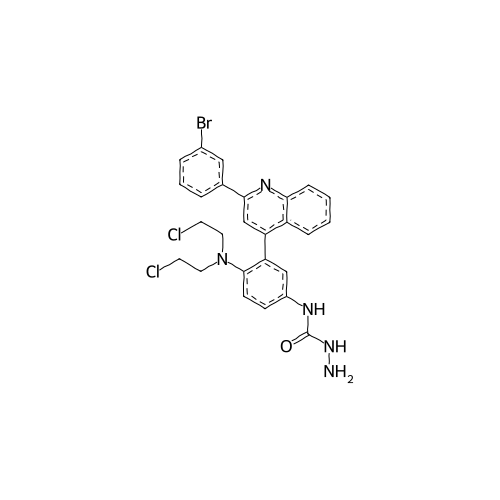 NNC(=O)Nc1ccc(N(CCCl)CCCl)c(-c2cc(-c3cccc(Br)c3)nc3ccccc23)c1